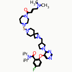 CC(C)N(C(=O)c1cc(F)ccc1Oc1cncnc1N1CCC(CN2CC3(CCN(SN4CCCN(C(=O)/C=C/CN(C)C)CC4)CC3)C2)C1)C(C)C